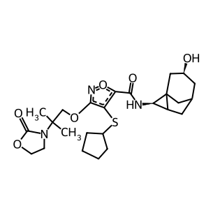 CC(C)(COc1noc(C(=O)N[C@@H]2C3CC4C[C@H](O)CC32C4)c1SC1CCCC1)N1CCOC1=O